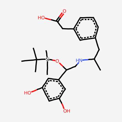 CC(Cc1cccc(CC(=O)O)c1)NCC(O[Si](C)(C)C(C)(C)C)c1cc(O)cc(O)c1